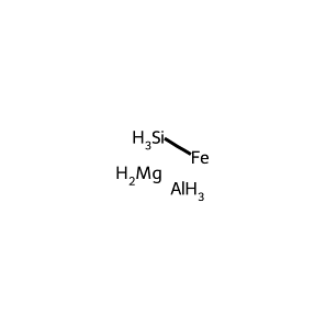 [AlH3].[MgH2].[SiH3][Fe]